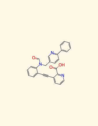 O=CN(Cc1ccc(-c2ccccc2)nc1)c1ccccc1C#Cc1cccnc1C(=O)O